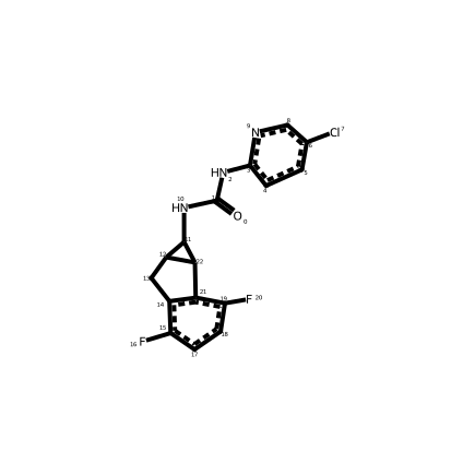 O=C(Nc1ccc(Cl)cn1)NC1C2Cc3c(F)ccc(F)c3C21